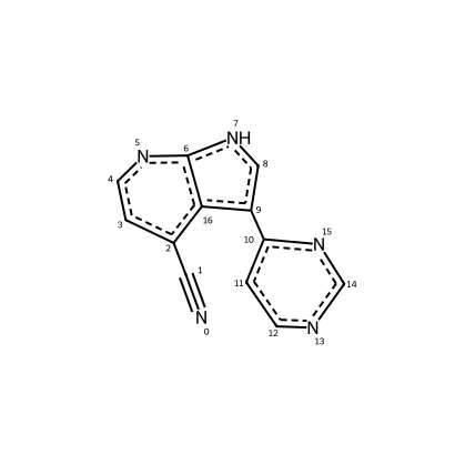 N#Cc1ccnc2[nH]cc(-c3ccncn3)c12